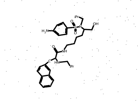 CC(C)CNC(Cc1ccc2ccccc2c1)C(=O)NCCCCC(CO)N(CC(C)C)S(=O)(=O)c1ccc(N)cc1